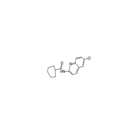 O=C(Nc1ccc2cc(Cl)ccc2n1)C1CCCCC1